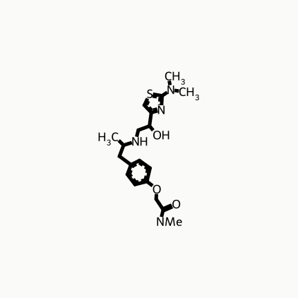 CNC(=O)COc1ccc(CC(C)NCC(O)c2csc(N(C)C)n2)cc1